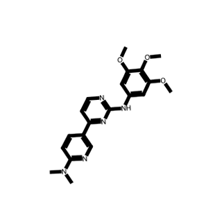 COc1cc(Nc2nccc(-c3ccc(N(C)C)nc3)n2)cc(OC)c1OC